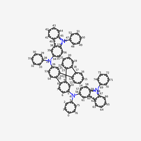 c1ccc(N(c2ccc3c(c2)C2(c4ccccc4-c4ccccc42)c2cc(N(c4ccccc4)c4ccc5c(c4)c4ccccc4n5-c4ccccc4)ccc2-3)c2ccc3c(c2)c2ccccc2n3-c2ccccc2)cc1